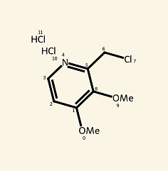 COc1ccnc(CCl)c1OC.Cl.Cl